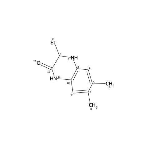 CCC1Nc2cc(C)c(C)cc2NC1=O